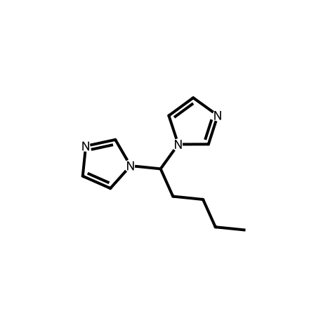 CCCCC(n1ccnc1)n1ccnc1